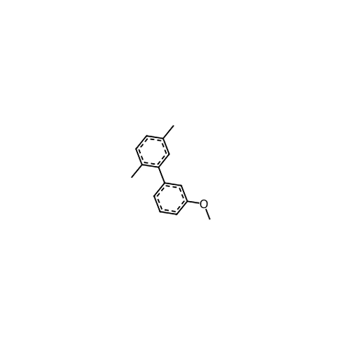 COc1cccc(-c2cc(C)ccc2C)c1